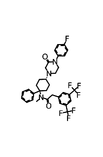 CN(C(=O)Cc1cc(C(F)(F)F)cc(C(F)(F)F)c1)[C@]1(c2ccccc2)CC[C@@H](N2CCN(c3ccc(F)cc3)C(=O)C2)CC1